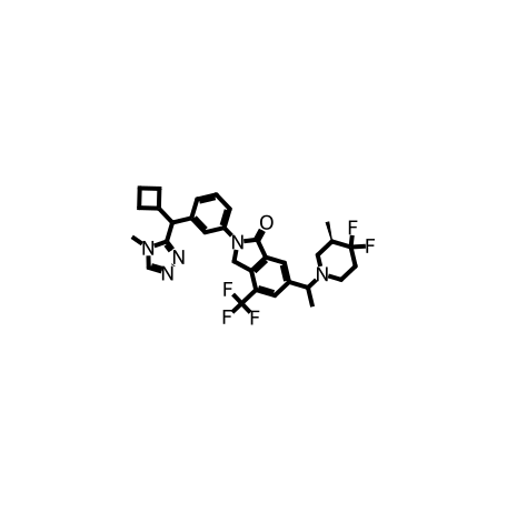 CC(c1cc2c(c(C(F)(F)F)c1)CN(c1cccc(C(c3nncn3C)C3CCC3)c1)C2=O)N1CCC(F)(F)[C@H](C)C1